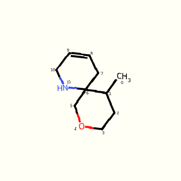 CC1CCOCC12CC=CCN2